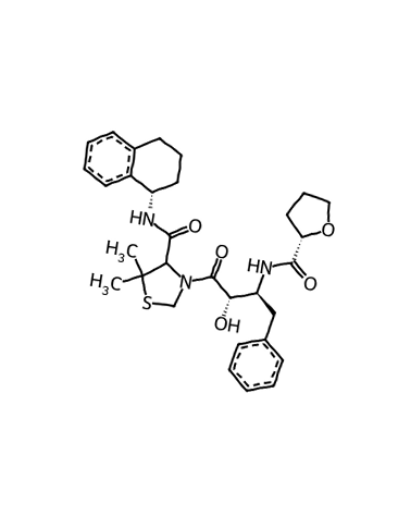 CC1(C)SCN(C(=O)[C@@H](O)[C@H](Cc2ccccc2)NC(=O)[C@@H]2CCCO2)C1C(=O)N[C@H]1CCCc2ccccc21